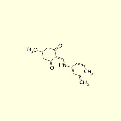 C=C/C=C(\C=C/C)NC=C1C(=O)CC(C)CC1=O